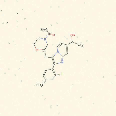 COC(=O)N1CCO[C@@H](Cc2c(-c3ccc(C(=O)O)cc3F)nc3cc(C(O)C(F)(F)F)ccn23)C1